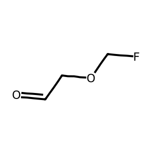 O=CCOCF